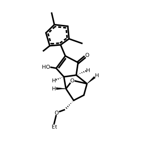 CCOC[C@H]1C[C@@H]2O[C@H]1[C@H]1C(O)=C(c3c(C)cc(C)cc3C)C(=O)[C@H]12